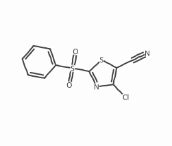 N#Cc1sc(S(=O)(=O)c2ccccc2)nc1Cl